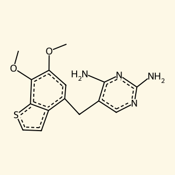 COc1cc(Cc2cnc(N)nc2N)c2ccsc2c1OC